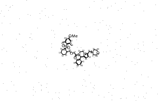 COc1cc(C)c(S(=O)(=O)N2CCCCC2COCC(=O)N2CCn3c(CN4CCOCC4)ccc3C2c2ccccc2)c(C)c1